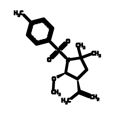 C=C(C)[C@H]1CC(C)(C)N(S(=O)(=O)c2ccc(C)cc2)[C@H]1OC